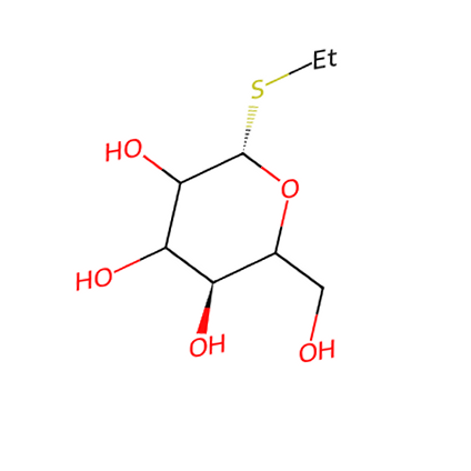 CCS[C@@H]1OC(CO)[C@@H](O)C(O)C1O